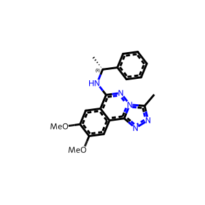 COc1cc2c(N[C@H](C)c3ccccc3)nn3c(C)nnc3c2cc1OC